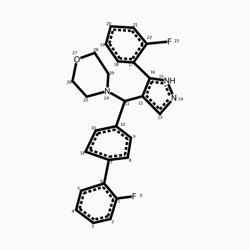 Fc1ccccc1-c1ccc(C(c2cn[nH]c2-c2ccccc2F)N2CCOCC2)cc1